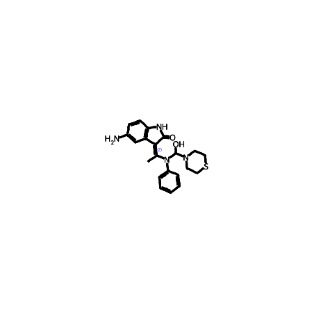 C/C(=C1/C(=O)Nc2ccc(N)cc21)N(c1ccccc1)C(O)N1CCSCC1